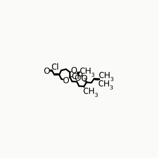 CC(=O)O[C@@H]1CC/C(=C\C(=O)Cl)CO[C@@]1(C)CCCC(C)C(=O)CC=C(C)C